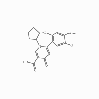 COc1cc2c(cc1Cl)-c1cc(=O)c(C(=O)O)cn1C1CCCC1O2